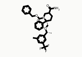 Cc1cc([C@@H](C)OC[C@@]2(c3ccccc3)CCC(C(N)=O)CN2C(=O)OCc2ccccc2)cc(C(F)(F)F)c1